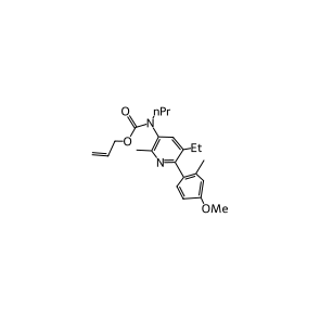 C=CCOC(=O)N(CCC)c1cc(CC)c(-c2ccc(OC)cc2C)nc1C